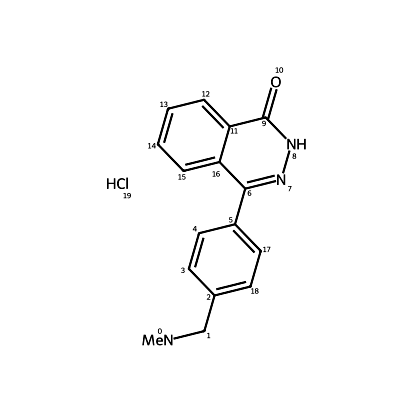 CNCc1ccc(-c2n[nH]c(=O)c3ccccc23)cc1.Cl